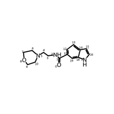 O=C(NCCN1CCOCC1)c1ccc2[c]c[nH]c2c1